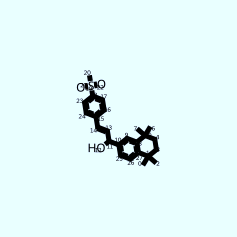 CC1(C)CCC(C)(C)c2cc(C(O)C=Cc3ccc(S(C)(=O)=O)cc3)ccc21